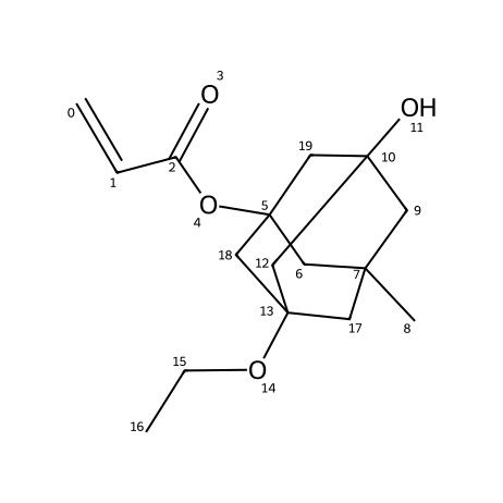 C=CC(=O)OC12CC3(C)CC(O)(CC(OCC)(C3)C1)C2